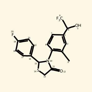 Cc1cc(C(O)C(F)(F)F)ccc1N1C(=O)CSC1c1ccc(F)cc1